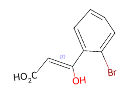 O=C(O)/C=C(\O)c1ccccc1Br